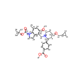 COC(=O)c1ccc([C@@H]2C[C@@H](OCC3CC3)CCN2Cc2c(OC)cc(C)c3c2ccn3C(=O)OC(C)(C)C)cc1